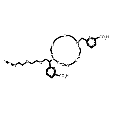 O=C(O)c1cccc(CN2CCOCCOCCN(C(COCCOCCN=C=S)c3cccc(C(=O)O)n3)CCOCCOCC2)n1